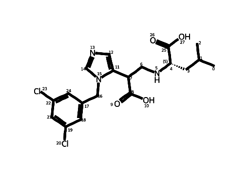 CC(C)C[C@H](NCC(C(=O)O)c1cncn1Cc1cc(Cl)cc(Cl)c1)C(=O)O